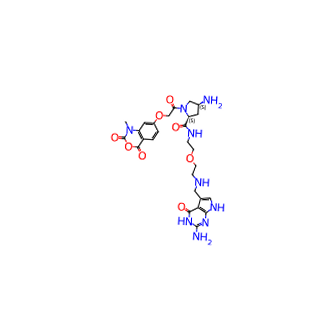 Cn1c(=O)oc(=O)c2ccc(OCC(=O)N3C[C@@H](N)C[C@H]3C(=O)NCCOCCNCc3c[nH]c4nc(N)[nH]c(=O)c34)cc21